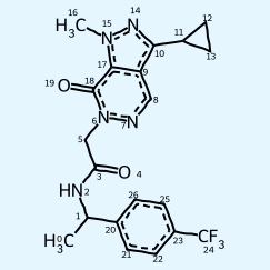 CC(NC(=O)Cn1ncc2c(C3CC3)nn(C)c2c1=O)c1ccc(C(F)(F)F)cc1